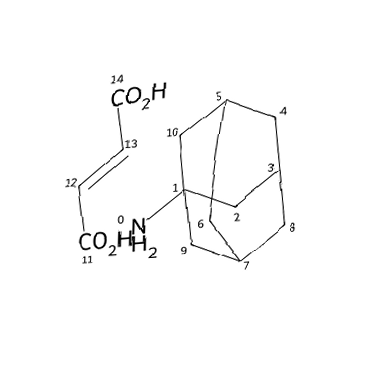 NC12CC3CC(CC(C3)C1)C2.O=C(O)/C=C/C(=O)O